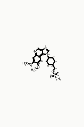 COc1cc2ncc3ncn(C4CCC(COS(C)(=O)=O)CC4)c3c2cc1OC